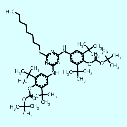 CCCCCCCCSc1nc(Nc2cc(C(C)(C)C)c(OC(=O)OC(C)(C)C)c(C(C)(C)C)c2)nc(Nc2cc(C(C)(C)C)c(OC(=O)OC(C)(C)C)c(C(C)(C)C)c2)n1